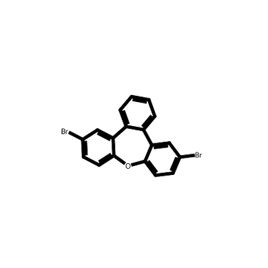 Brc1ccc2c(c1)-c1ccccc1-c1cc(Br)ccc1O2